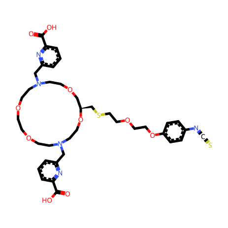 O=C(O)c1cccc(CN2CCOCCOCCN(Cc3cccc(C(=O)O)n3)CCO[C@H](CSCCOCCOc3ccc(N=C=S)cc3)COCC2)n1